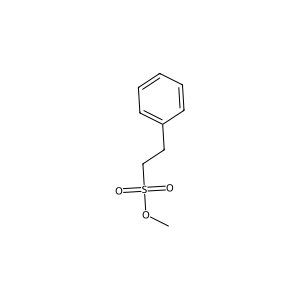 COS(=O)(=O)CCc1ccccc1